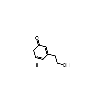 I.O=C1C=C(CCO)C=CC1